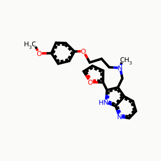 COc1ccc(OCCCN(C)Cc2c(-c3ccco3)[nH]c3ncccc23)cc1